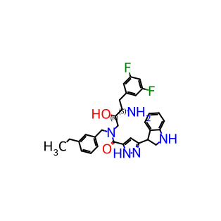 CCc1cccc(CN(C[C@@H](O)[C@@H](N)Cc2cc(F)cc(F)c2)C(=O)c2cc(C3CNc4ccccc43)n[nH]2)c1